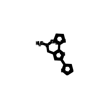 CN(C)Cc1cc(-c2cccs2)sc1-c1cccs1